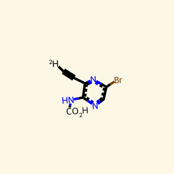 [2H]C#Cc1nc(Br)cnc1NC(=O)O